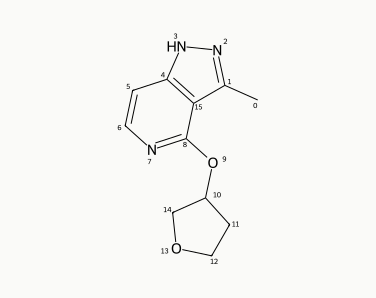 Cc1n[nH]c2ccnc(OC3CCOC3)c12